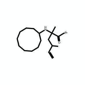 C=CC(C)CC(C)(NC1CCCCCCCCC1)C(=O)C(C)C